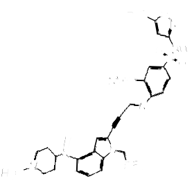 COc1cc(S(=O)(=O)Nc2cc(C)on2)ccc1NCC#Cc1cc2c(NC3CCN(C)CC3)cccc2n1CC(F)(F)F